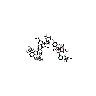 O=S(=O)(O)c1cccc(Nc2nc(Cl)nc(Nc3cc(Nc4nc(Cl)nc(Nc5cc(S)cc6cc(S)c(/N=N\c7ccc8c(S(=O)(=O)O)cccc8c7S(=O)(=O)O)c(O)c56)n4)ccc3S(=O)(=O)O)n2)c1